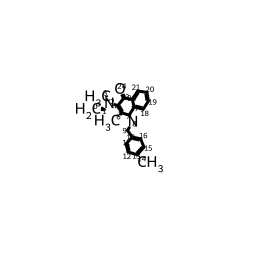 C=CN(C)C1=C(C)C(=NCc2ccc(C)cc2)c2ccccc2C1=O